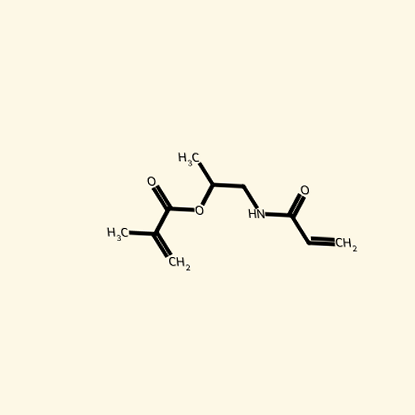 C=CC(=O)NCC(C)OC(=O)C(=C)C